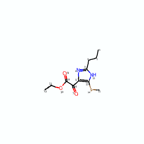 CCCc1nc(C(=O)C(=O)OCC)c(SC)[nH]1